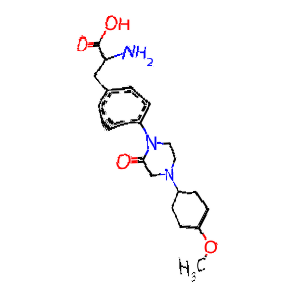 COC1CCC(N2CCN(c3ccc(CC(N)C(=O)O)cc3)C(=O)C2)CC1